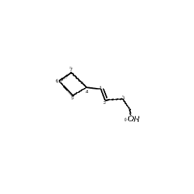 OCC=CC1CCC1